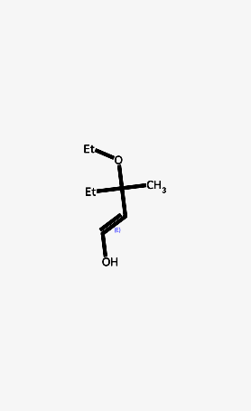 CCOC(C)(/C=C/O)CC